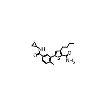 CCCCc1cc(-c2cc(C(=O)NC3CC3)ccc2C)sc1C(N)=O